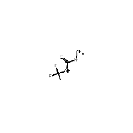 C[N]C(=O)NC(F)(F)F